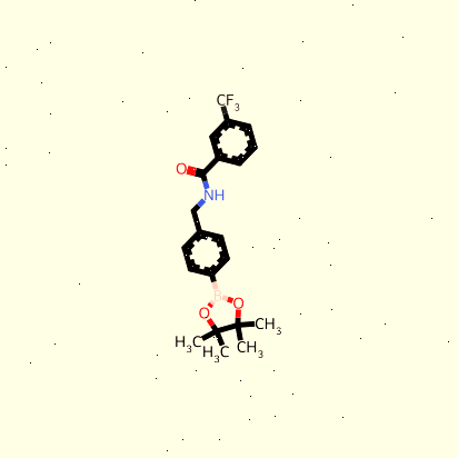 CC1(C)OB(c2ccc(CNC(=O)c3cccc(C(F)(F)F)c3)cc2)OC1(C)C